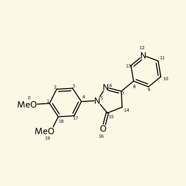 COc1ccc(N2N=C(c3cccnc3)CC2=O)cc1OC